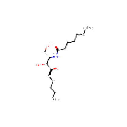 CCCCCCCCCCCCC/C=C(\O)[C@@H](O)[C@H](CO)NC(=O)CCCCCCCCCCCCCCC